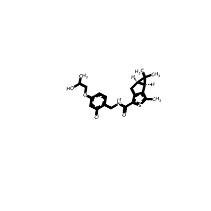 Cc1sc(C(=O)NCc2ccc(OCC(C)O)cc2Cl)c2c1[C@H]1[C@@H](C2)C1(C)C